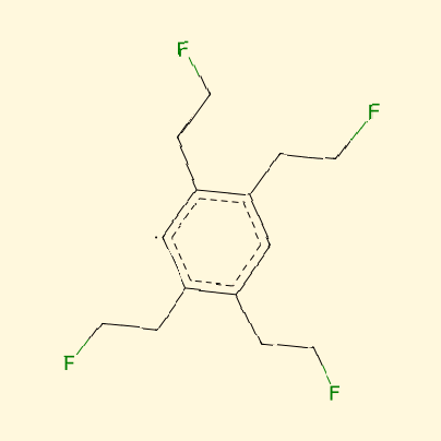 FCCc1[c]c(CCF)c(CCF)cc1CCF